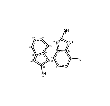 Cc1cccc2sc(S)nc12.Sc1nc2ccccc2s1